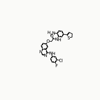 Nc1ccc(C2=CCCS2)cc1NC(=O)COc1ccc2ncnc(Nc3ccc(F)c(Cl)c3)c2c1